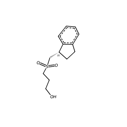 O=S(=O)(CCCO)C[C@H]1CCc2ccccc21